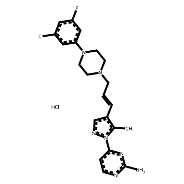 Cc1c(/C=C/CN2CCN(c3cc(F)cc(Cl)c3)CC2)cnn1-c1ccnc(N)n1.Cl